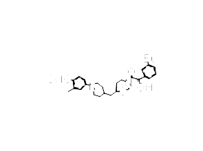 CCc1cccc([C@@H](O)C(=O)N2CCC(CC3CCN(c4ccc(C=O)c(C)c4)CC3)CC2)c1